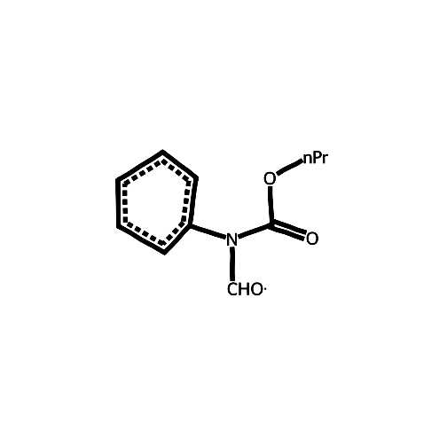 CCCOC(=O)N([C]=O)c1ccccc1